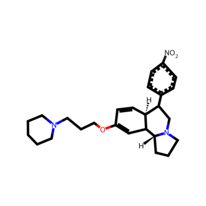 O=[N+]([O-])c1ccc(C2CN3CCC[C@@H]3C3C=C(OCCCN4CCCCC4)C=C[C@@H]23)cc1